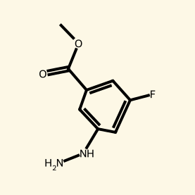 COC(=O)c1cc(F)cc(NN)c1